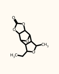 CCC1OC(C)C2C3OC(C4OC(=O)OC43)C12